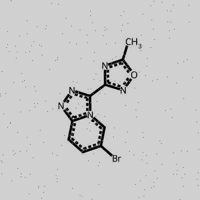 Cc1nc(-c2nnc3ccc(Br)cn23)no1